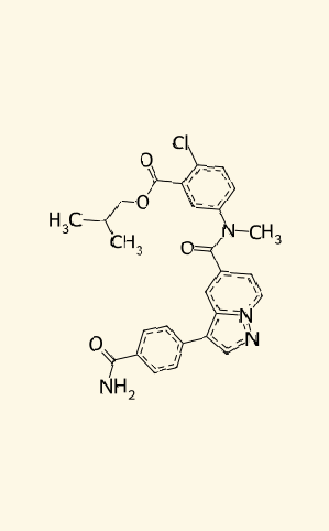 CC(C)COC(=O)c1cc(N(C)C(=O)c2ccn3ncc(-c4ccc(C(N)=O)cc4)c3c2)ccc1Cl